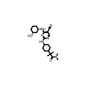 CN(C)C(=O)C(C)(C)C1CCC(Nc2ncc(C#N)c(N[C@@H]3CCC[C@H](O)C3)n2)CC1